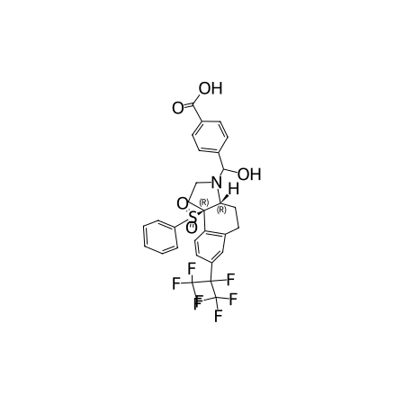 O=C(O)c1ccc(C(O)N2CC[C@@]3(S(=O)(=O)c4ccccc4)c4ccc(C(F)(C(F)(F)F)C(F)(F)F)cc4CC[C@@H]23)cc1